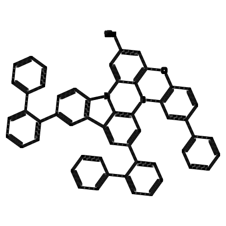 CC(C)(C)c1cc2c3c(c1)-n1c4ccc(-c5ccccc5-c5ccccc5)cc4c4cc(-c5ccccc5-c5ccccc5)cc(c41)B3c1cc(-c3ccccc3)ccc1O2